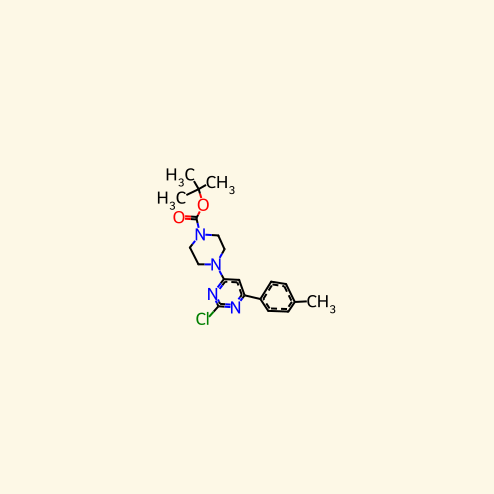 Cc1ccc(-c2cc(N3CCN(C(=O)OC(C)(C)C)CC3)nc(Cl)n2)cc1